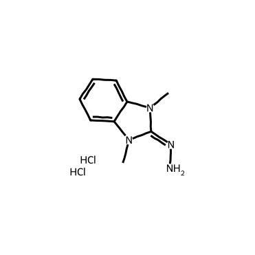 Cl.Cl.Cn1c(=NN)n(C)c2ccccc21